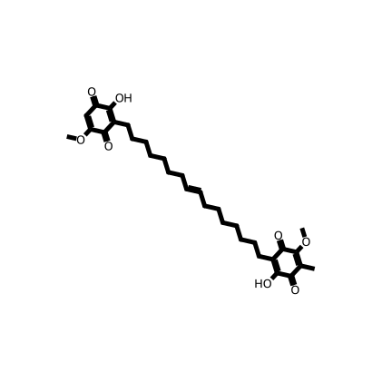 COC1=CC(=O)C(O)=C(CCCCCCCC=CCCCCCCCC2=C(O)C(=O)C(C)=C(OC)C2=O)C1=O